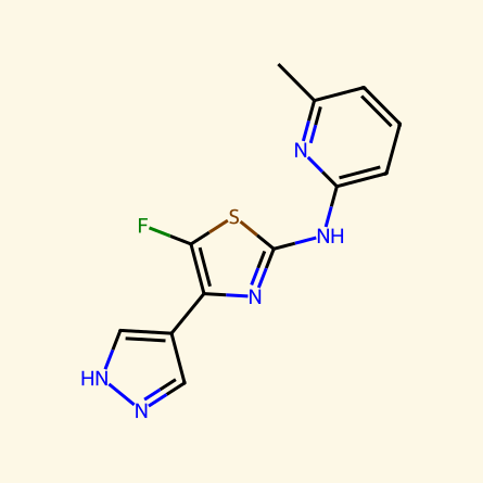 Cc1cccc(Nc2nc(-c3cn[nH]c3)c(F)s2)n1